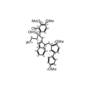 COc1ccc(-c2ccc(OC)c(CC3C(C[N+](C=O)(CCC(C)C)c4ccc(OC)c(OC)c4Cl)N=C4C=CC=CN43)c2)cc1